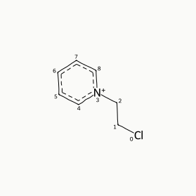 ClCC[n+]1ccccc1